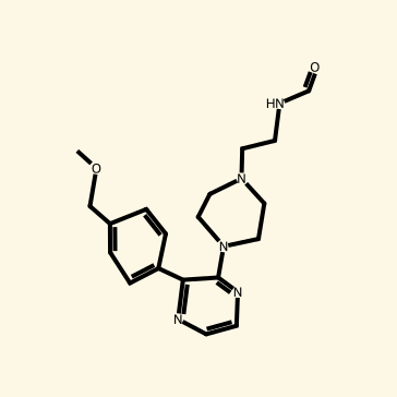 COCc1ccc(-c2nccnc2N2CCN(CCNC=O)CC2)cc1